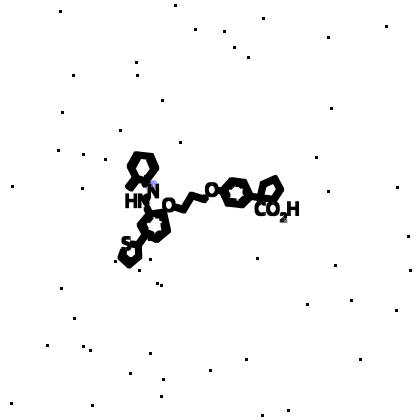 C=C1C=CC=C/C1=N/Nc1cc(C2CC=CS2)ccc1OCCCOc1ccc(C2(C(=O)O)CCCC2)cc1